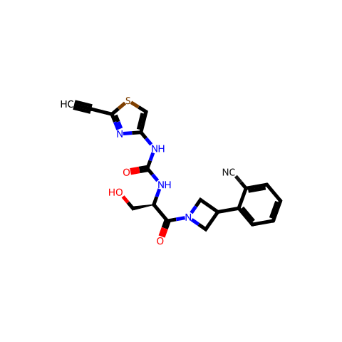 C#Cc1nc(NC(=O)N[C@H](CO)C(=O)N2CC(c3ccccc3C#N)C2)cs1